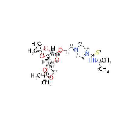 CC(C)NC(=S)N1CCN(CCO[C@H]2O[C@H]([C@H]3COC(C)(C)O3)[C@@H]3OC(C)(C)O[C@H]23)CC1